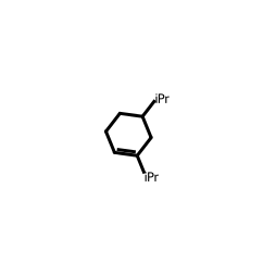 CC(C)C1=CCCC(C(C)C)C1